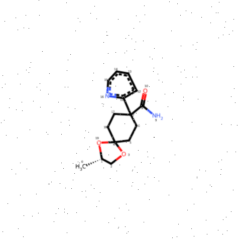 C[C@H]1COC2(CCC(C(N)=O)(c3ccccn3)CC2)O1